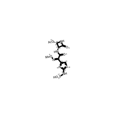 CON=C(C(=O)N[C@@H]1C(=O)N[C@H]1OC(C)=O)c1csc(NS(=O)(=O)O)n1